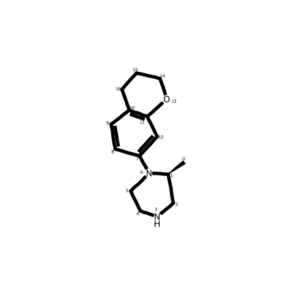 C[C@H]1CNCCN1c1ccc2c(c1)OCCC2